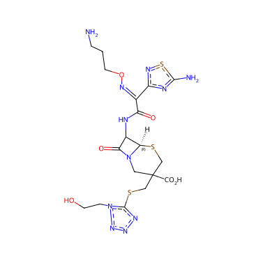 NCCCON=C(C(=O)NC1C(=O)N2CC(CSc3nnnn3CCO)(C(=O)O)CS[C@H]12)c1nsc(N)n1